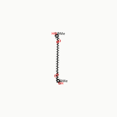 COc1cc(/C=C/C(=O)OCCCCCCCCCCCCCCCCCCCCCCCCCCOC(=O)/C=C/c2ccc(O)c(OC)c2)ccc1O